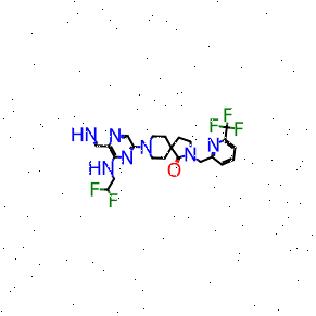 N=Cc1ncc(N2CCC3(CCN(Cc4cccc(C(F)(F)F)n4)C3=O)CC2)nc1NCC(F)F